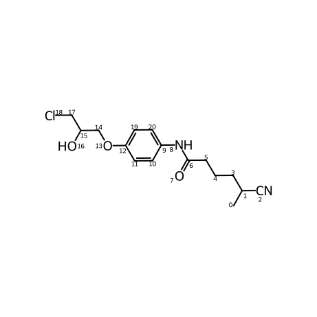 CC(C#N)CCCC(=O)Nc1ccc(OCC(O)CCl)cc1